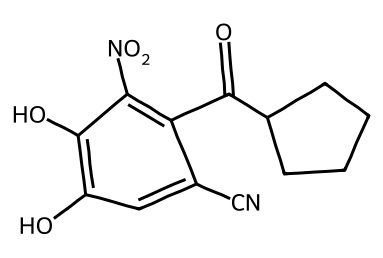 N#Cc1cc(O)c(O)c([N+](=O)[O-])c1C(=O)C1CCCC1